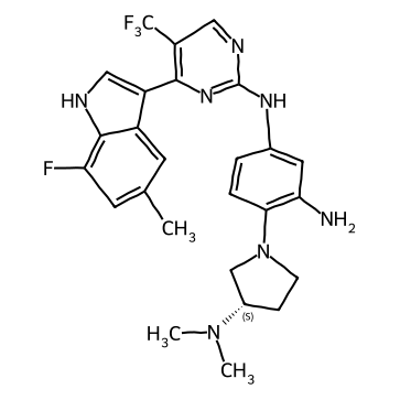 Cc1cc(F)c2[nH]cc(-c3nc(Nc4ccc(N5CC[C@H](N(C)C)C5)c(N)c4)ncc3C(F)(F)F)c2c1